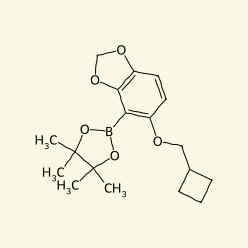 CC1(C)OB(c2c(OCC3CCC3)ccc3c2OCO3)OC1(C)C